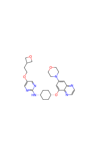 c1cnc2c(O[C@H]3CC[C@@H](Nc4ncc(OCCC5COC5)cn4)CC3)cc(N3CCOCC3)cc2n1